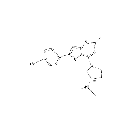 Cc1cc(N2CC[C@H](N(C)C)C2)n2nc(-c3ccc(Cl)cc3)cc2n1